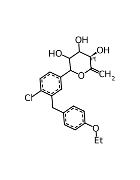 C=C1OC(c2ccc(Cl)c(Cc3ccc(OCC)cc3)c2)C(O)C(O)[C@H]1O